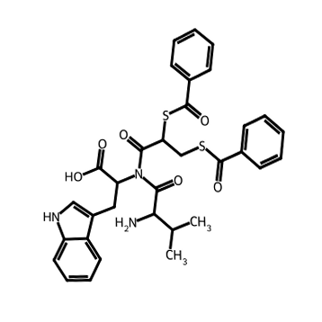 CC(C)C(N)C(=O)N(C(=O)C(CSC(=O)c1ccccc1)SC(=O)c1ccccc1)C(Cc1c[nH]c2ccccc12)C(=O)O